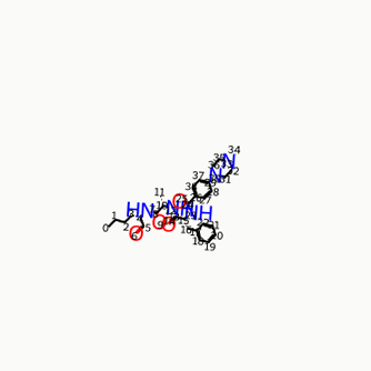 CCCC[C@@H](C=O)NC(=O)[C@H](C)NC(=O)[C@@H](Cc1ccccc1)NC(=O)c1ccc(N2CCN(C)CC2)cc1